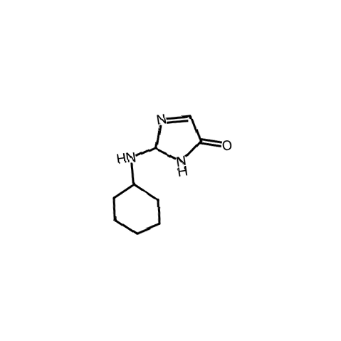 O=C1C=NC(NC2CCCCC2)N1